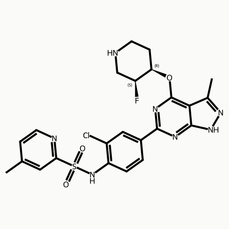 Cc1ccnc(S(=O)(=O)Nc2ccc(-c3nc(O[C@@H]4CCNC[C@@H]4F)c4c(C)n[nH]c4n3)cc2Cl)c1